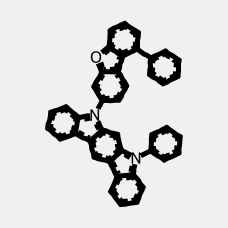 c1ccc(-c2cccc3oc4cc(-n5c6ccccc6c6cc7c8ccccc8n(-c8ccccc8)c7cc65)ccc4c23)cc1